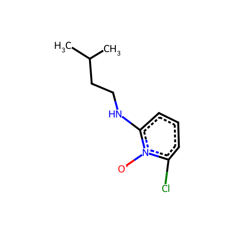 CC(C)CCNc1cccc(Cl)[n+]1[O-]